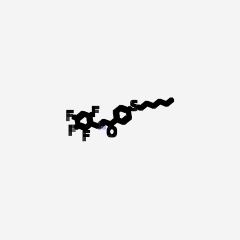 CCCCCCSc1ccc(C(=O)/C=C/c2c(F)cc(F)c(F)c2F)cc1